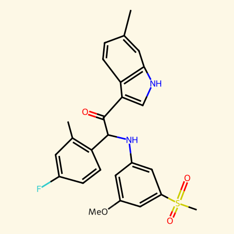 COc1cc(NC(C(=O)c2c[nH]c3cc(C)ccc23)c2ccc(F)cc2C)cc(S(C)(=O)=O)c1